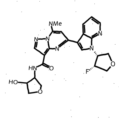 CNc1cc(-c2cn([C@@H]3COC[C@@H]3F)c3ncccc23)nc2c(C(=O)NC3COCC3O)cnn12